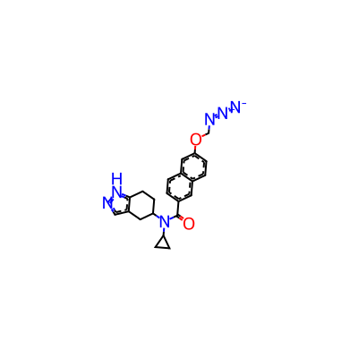 [N-]=[N+]=NCOc1ccc2cc(C(=O)N(C3CC3)C3CCc4[nH]ncc4C3)ccc2c1